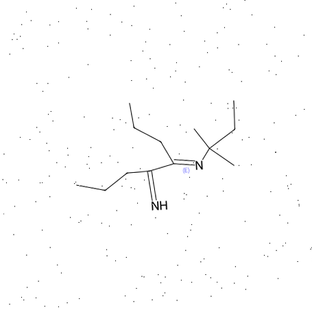 CCCC(=N)/C(CCC)=N/C(C)(C)CC